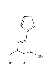 CC(C)CC(N=Cc1cscn1)C(=O)OC(C)(C)C